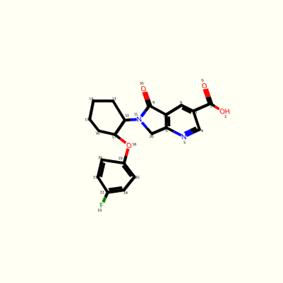 O=C(O)c1cnc2c(c1)C(=O)N(C1CCCCC1Oc1ccc(F)cc1)C2